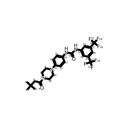 CC(C)(C)CC(=O)N1CCN(c2ccc(NC(=O)Nc3cc(C(F)(F)F)cc(C(F)(F)F)c3)cc2)CC1